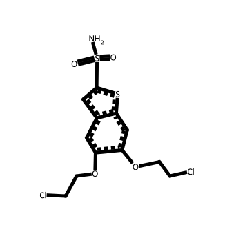 NS(=O)(=O)c1cc2cc(OCCCl)c(OCCCl)cc2s1